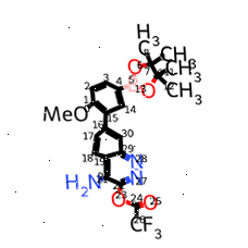 COc1ccc(B2OC(C)(C)C(C)(C)O2)cc1-c1ccc2c(N)c(OC(=O)C(F)(F)F)nnc2c1